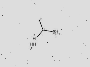 BC(C)CC.[HH]